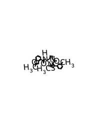 Cc1cccc(-c2sc(C)nc2C(=O)N2CCC2CNC(=O)c2cccc3oc(C)cc23)c1